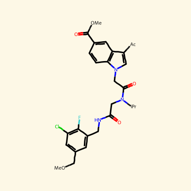 COCc1cc(Cl)c(F)c(CNC(=O)CN(C(=O)Cn2cc(C(C)=O)c3cc(C(=O)OC)ccc32)C(C)C)c1